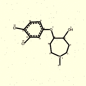 CN1CCC(O)C(Oc2ccc(Cl)c(Cl)c2)CC1